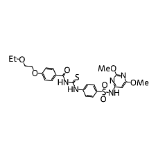 CCOCCOc1ccc(C(=O)NC(=S)Nc2ccc(S(=O)(=O)Nc3cc(OC)nc(OC)n3)cc2)cc1